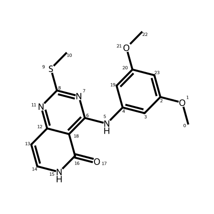 COc1cc(Nc2nc(SC)nc3cc[nH]c(=O)c23)cc(OC)c1